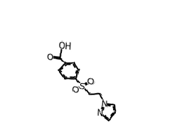 O=C(O)c1ccc(S(=O)(=O)CCn2cccn2)cc1